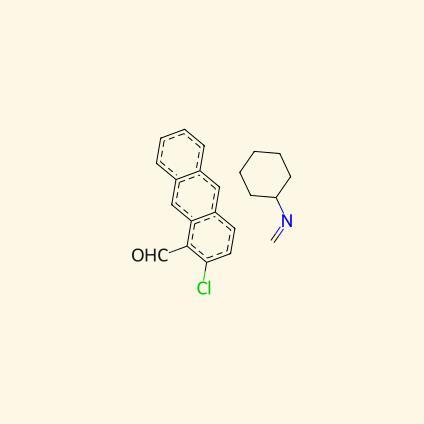 C=NC1CCCCC1.O=Cc1c(Cl)ccc2cc3ccccc3cc12